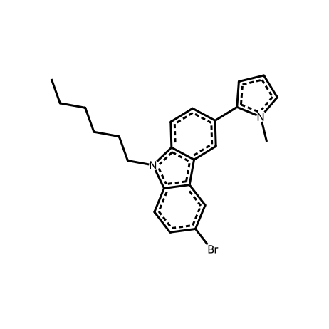 CCCCCCn1c2ccc(Br)cc2c2cc(-c3cccn3C)ccc21